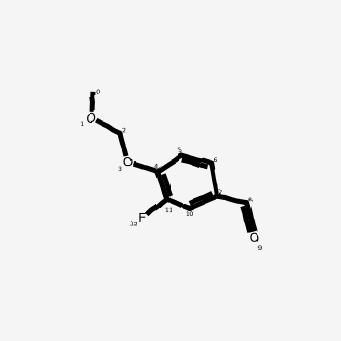 COCOc1ccc(C=O)cc1F